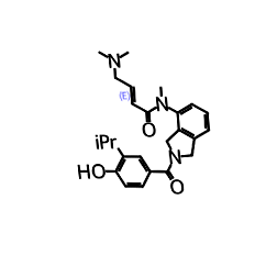 CC(C)c1cc(C(=O)N2Cc3cccc(N(C)C(=O)/C=C/CN(C)C)c3C2)ccc1O